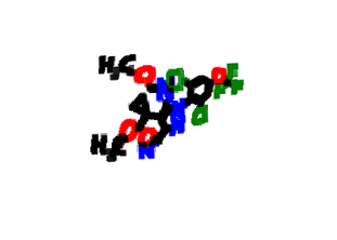 CCOC=Nc1c(C2(C(=O)OC)CC2)c(C#N)nn1-c1c(Cl)cc(OC(F)(F)F)cc1Cl